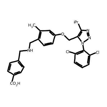 Cc1cc(OCc2c(C(C)C)nnn2-c2c(Cl)cccc2Cl)ccc1CNCc1ccc(C(=O)O)cc1